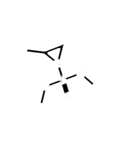 COP(=O)(OC)N1CC1C